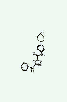 CCC1CCC(c2ccc(NC(=O)c3cnc(Nc4ccccc4)o3)cc2)CC1